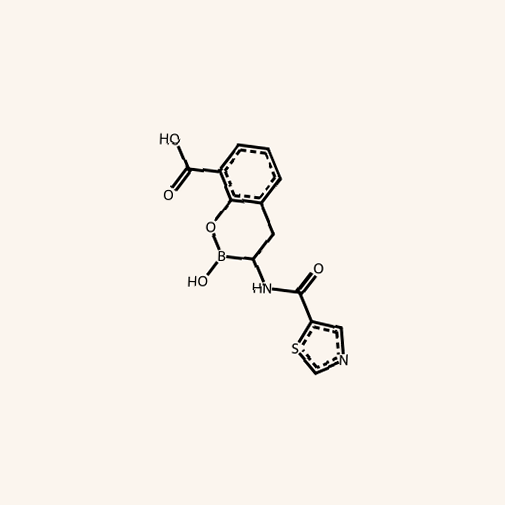 O=C(NC1Cc2cccc(C(=O)O)c2OB1O)c1cncs1